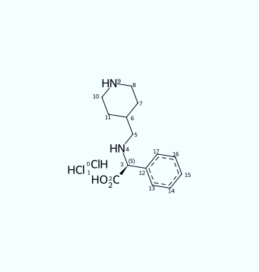 Cl.Cl.O=C(O)[C@@H](NCC1CCNCC1)c1ccccc1